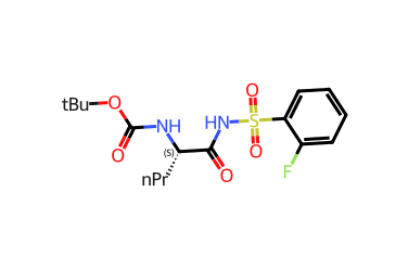 CCC[C@H](NC(=O)OC(C)(C)C)C(=O)NS(=O)(=O)c1ccccc1F